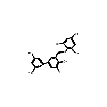 CC(C)c1cc(C(C)C)c(/N=C/c2cc(-c3cc(C(C)(C)C)cc(C(C)(C)C)c3)cc(F)c2O)c(C(C)C)c1